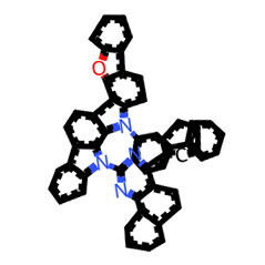 c1ccc(-c2cccc(-n3c4ccc5c6ccccc6oc5c4c4ccc5c6ccccc6n(-c6nc(-c7ccccc7)c7ccc8ccccc8c7n6)c5c43)c2)cc1